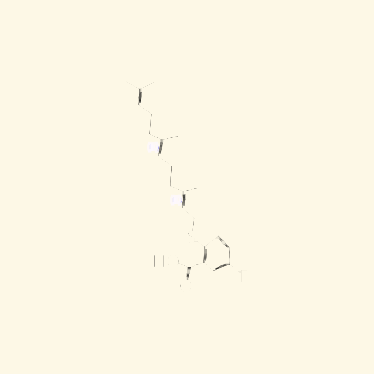 CC(C)=CCC/C(C)=C/CC/C(C)=C/CSc1ccc(F)cc1C(=O)O